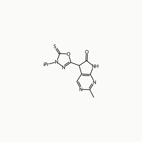 Cc1ncc2c(n1)NC(=O)C2c1nn(C(C)C)c(=S)o1